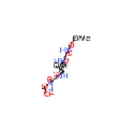 COCCCOCCNC(=O)CCCC(=O)Nc1ccc2c(c1)C(COC(C)=O)c1cc(NC(=O)CCCC(=O)NCCOC(C)CCO)ccc1-2